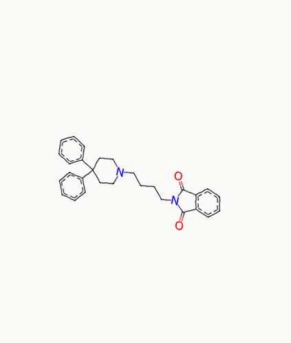 O=C1c2ccccc2C(=O)N1CCCCN1CCC(c2ccccc2)(c2ccccc2)CC1